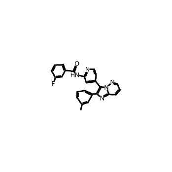 Cc1cccc(-c2nc3cccnn3c2-c2ccnc(NC(=O)c3cccc(F)c3)c2)c1